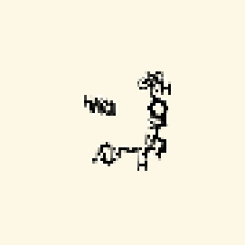 CN1CCN(CCCNc2nccc(-c3cc4ccc(CNS(C)(=O)=O)cc4s3)n2)CC1.Cl.Cl.Cl